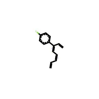 C=C/C=C\C=C(/C=C)c1ccc(F)cc1